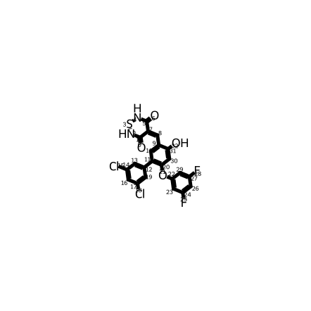 O=C1NSNC(=O)C1=Cc1cc(-c2cc(Cl)cc(Cl)c2)c(Oc2cc(F)cc(F)c2)cc1O